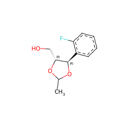 CC1O[C@H](c2ccccc2F)[C@@H](CO)O1